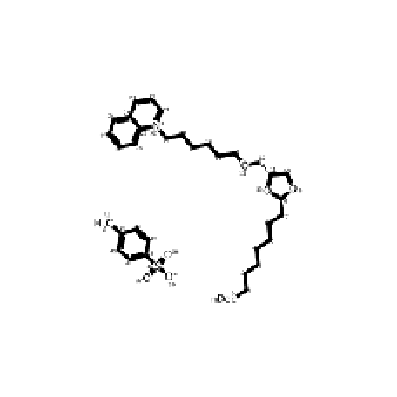 CCCCCCCCCCCCCCCCC[C@@H]1OC[C@@H](COCCCCCC[n+]2cccc3ccccc32)O1.Cc1ccc(S(=O)(=O)[O-])cc1